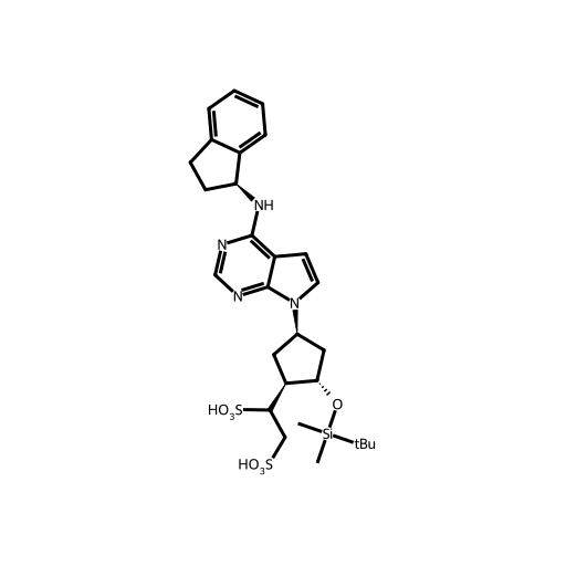 CC(C)(C)[Si](C)(C)O[C@H]1C[C@H](n2ccc3c(N[C@H]4CCc5ccccc54)ncnc32)C[C@@H]1C(CS(=O)(=O)O)S(=O)(=O)O